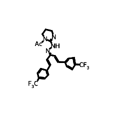 CC(=O)N1CCCN=C1NN=C(C=Cc1ccc(C(F)(F)F)cc1)C=Cc1ccc(C(F)(F)F)cc1